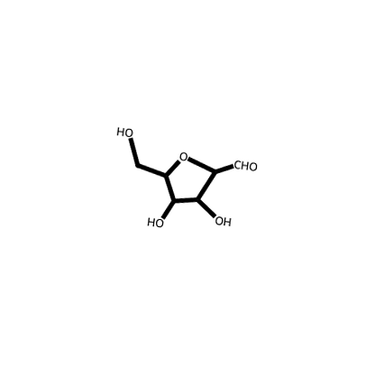 O=CC1OC(CO)C(O)C1O